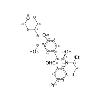 CCC1CCc2cc(C(C)C)ccc2N1[C@H](O)C(C=O)c1ccc(OCC2CCOCC2)c(CO)c1